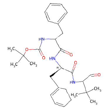 CC(C)(C)OC(=O)NC(Cc1ccccc1)C(=O)N[C@H](CC1=CC=CCC1)C(=O)NC(C=O)C(C)(C)C